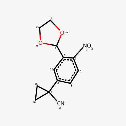 N#CC1(c2ccc([N+](=O)[O-])c(C3OCCO3)c2)CC1